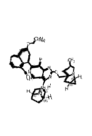 C#Cc1cccc2cc(OCOC)cc(-c3ncc4c(N5C[C@H]6CC[C@@H](C5)N6C(=O)O)nc(OCC56CC(=C)CN5[C@@H]5C[C@@H]5C6)nc4c3F)c12